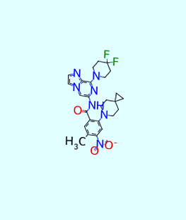 Cc1cc(C(=O)Nc2cn3ccnc3c(N3CCC(F)(F)CC3)n2)c(N2CCC3(CC2)CC3)cc1[N+](=O)[O-]